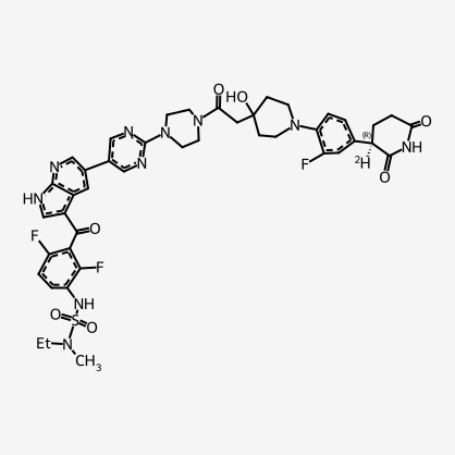 [2H][C@]1(c2ccc(N3CCC(O)(CC(=O)N4CCN(c5ncc(-c6cnc7[nH]cc(C(=O)c8c(F)ccc(NS(=O)(=O)N(C)CC)c8F)c7c6)cn5)CC4)CC3)c(F)c2)CCC(=O)NC1=O